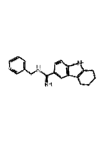 N=C(NCc1cccnc1)c1ccc2[nH]c3c(c2c1)CCCC3